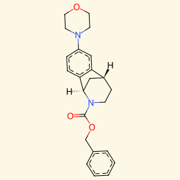 O=C(OCc1ccccc1)N1CC[C@@H]2C[C@@H]1c1ccc(N3CCOCC3)cc12